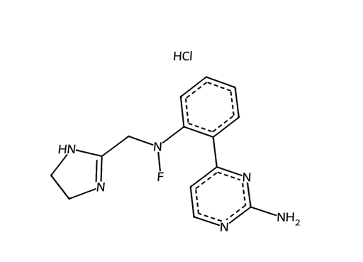 Cl.Nc1nccc(-c2ccccc2N(F)CC2=NCCN2)n1